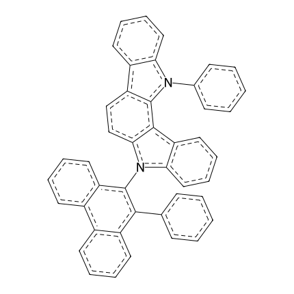 c1ccc(-c2c(-n3c4ccccc4c4c3ccc3c5ccccc5n(-c5ccccc5)c34)c3ccccc3c3ccccc23)cc1